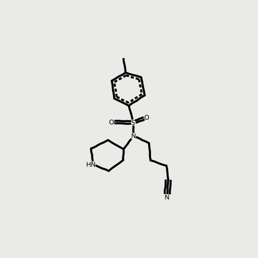 Cc1ccc(S(=O)(=O)N(CCCC#N)C2CCNCC2)cc1